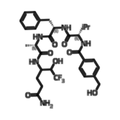 CC(C)[C@H](NC(=O)c1ccc(CO)cc1)C(=O)N[C@@H](Cc1ccccc1)C(=O)N[C@@H](C)C(=O)NC(CCC(N)=O)C(O)C(F)(F)F